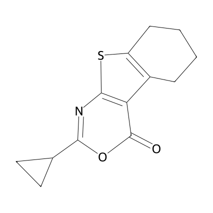 O=c1oc(C2CC2)nc2sc3c(c12)CCCC3